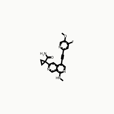 CNc1ncc(C#Cc2cc(F)c(OC)cn2)c2cc(C3(C(N)=O)CC3)ncc12